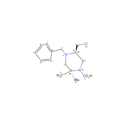 CC(C)(C)[C@]1(C)CN(Cc2ccccc2)[C@@H](CCl)CN1C(=O)O